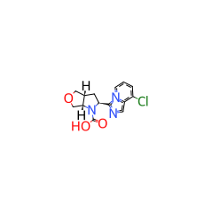 O=C(O)N1[C@@H]2COC[C@@H]2C[C@H]1c1ncc2c(Cl)cccn12